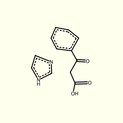 O=C(O)CC(=O)c1ccccc1.c1c[nH]cn1